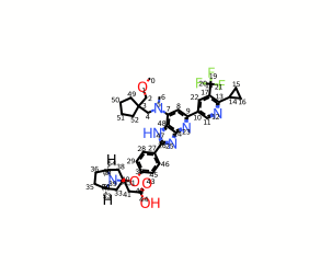 COCC1(CN(C)c2cc(-c3cnc(C4CC4)c(C(F)(F)F)c3)nc3nc(-c4ccc(OC5C[C@H]6CC[C@@H](C5)N6CCC(=O)O)cc4)[nH]c23)CCCC1